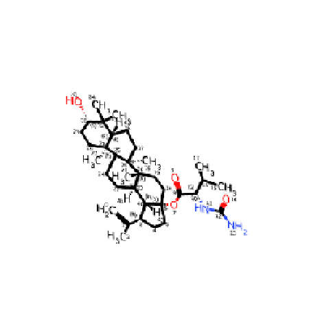 C=C(C)[C@@H]1CC[C@]2(OC(=O)[C@@H](NC(N)=O)C(C)C)CC[C@]3(C)[C@H](CCC4[C@@]5(C)CC[C@H](O)C(C)(C)[C@@H]5CC[C@]43C)[C@@H]12